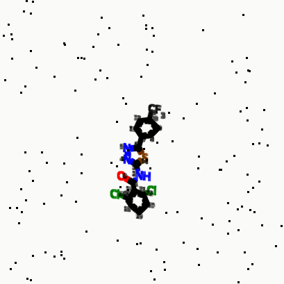 O=C(Nc1nnc(-c2ccc(C(F)(F)F)cc2)s1)c1c(Cl)cccc1Cl